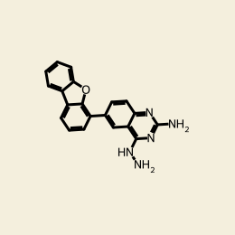 NNc1nc(N)nc2ccc(-c3cccc4c3oc3ccccc34)cc12